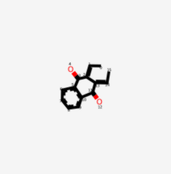 C/C=C1/C(=O)c2ccccc2C(=O)/C1=C/C